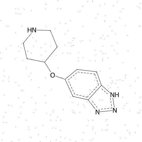 c1cc2[nH]nnc2cc1OC1CCNCC1